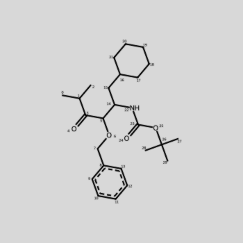 CC(C)C(=O)C(OCc1ccccc1)C(CC1CCCCC1)NC(=O)OC(C)(C)C